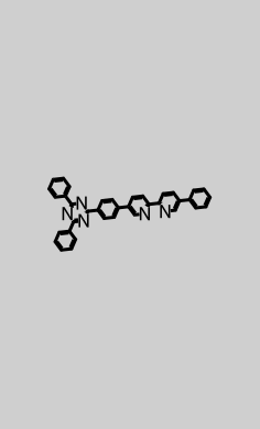 c1ccc(-c2ccc(-c3ccc(-c4ccc(-c5nc(-c6ccccc6)nc(-c6ccccc6)n5)cc4)cn3)nc2)cc1